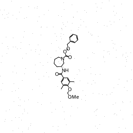 COCOc1c(C)cc(C(=O)N[C@@H]2CCCCN(C(=O)OOCc3ccccc3)C2)cc1C